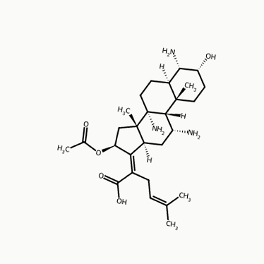 CC(=O)O[C@H]1C[C@@]2(C)[C@@H](C[C@@H](N)[C@H]3[C@@]4(C)CC[C@@H](O)[C@@H](N)[C@@H]4CC[C@@]32N)/C1=C(\CC=C(C)C)C(=O)O